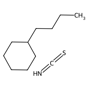 CCCCC1CCCCC1.N=C=S